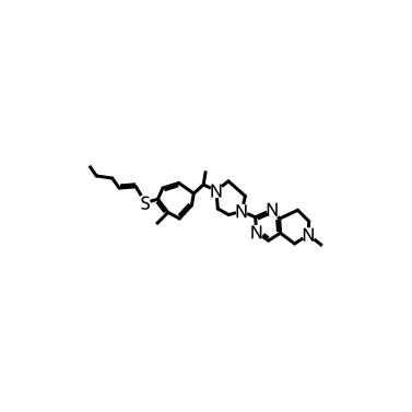 CCC/C=C/SC1=C(C)C=CC(C(C)N2CCN(c3ncc4c(n3)CCN(C)C4)CC2)C=C1